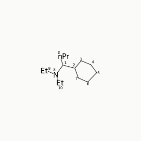 [CH2]CCC(C1CCCCC1)N(CC)CC